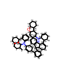 CC1CCCCC1N(c1ccccc1C1CCCCC1)C1C=CC2c3ccccc3[C@]3(C4=C(CCC=C4)C4C(C5CCC=CC5NC5CCC6OC7CCCCC7C6C5)=CCCC43)C2C1